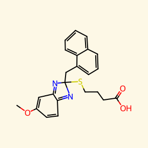 COc1ccc2c(c1)=NC(Cc1cccc3ccccc13)(SCCCC(=O)O)N=2